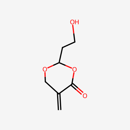 C=C1COC(CCO)OC1=O